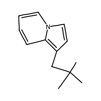 CC(C)(C)Cc1ccn2ccccc12